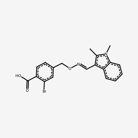 Cc1c(C=NOCc2ccc(C(=O)O)c(Br)c2)c2ccccc2n1C